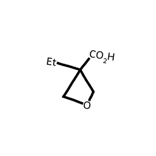 CCC1(C(=O)O)COC1